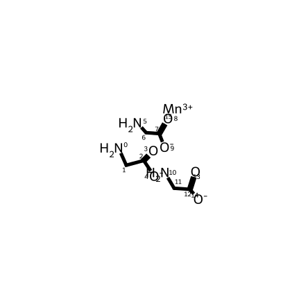 NCC(=O)[O-].NCC(=O)[O-].NCC(=O)[O-].[Mn+3]